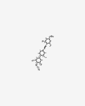 CCCCc1cc(F)c(C#Cc2ccc(-c3cc(F)c(N=C=S)c(F)c3)c(C)c2)c(F)c1